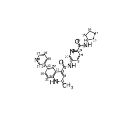 CC1C=C(C(=O)Nc2ccc(C(=O)NC3CCCC3)nc2)c2cc(-c3cccnc3)ccc2N1